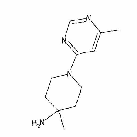 Cc1cc(N2CCC(C)(N)CC2)ncn1